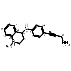 CC(=O)N1CCC(Nc2ccc(C#CCN)cc2)c2ccccc21